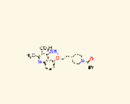 Cc1nc2cccc(OCCC3CCN(C(=O)C(C)C)CC3)c2c(N)c1C(=O)O